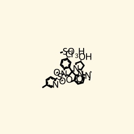 CS(=O)(=O)O.Cc1ccc(S(=O)(=O)N2C(=O)C(c3ncccc3C)(N3C[C@H](O)C[C@H]3C(=O)N(C)C)c3cc(Cl)ccc32)nc1